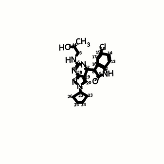 C[C@H](O)CNc1nc(C2C(=O)Nc3ccc(Cl)cc32)c2cn(C3CCCC3)nc2n1